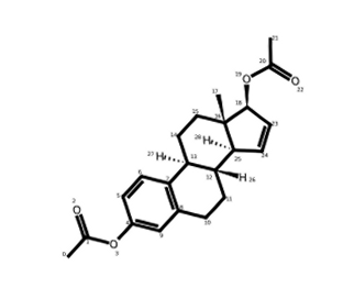 CC(=O)Oc1ccc2c(c1)CC[C@@H]1[C@@H]2CC[C@]2(C)[C@@H](OC(C)=O)C=C[C@@H]12